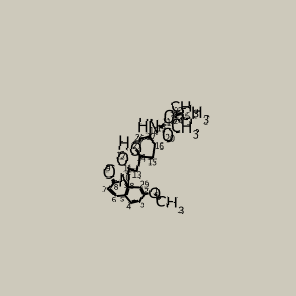 COc1ccc2ccc(=O)n(C(O)CC3CCC(NC(=O)OC(C)(C)C)CO3)c2c1